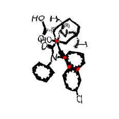 O=C(O)[C@@H]1[C@H]2CC[C@@H](CN1C(=O)N(c1ccccc1)c1ccccc1)N2C(O)C#Cc1ccc(Cl)cc1